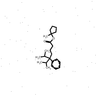 CC(C)C(CCCC(=O)OC1(C)CCCC1)(c1ccccc1)C(C)C